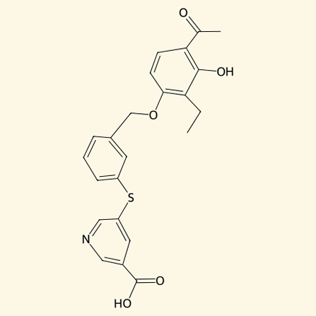 CCc1c(OCc2cccc(Sc3cncc(C(=O)O)c3)c2)ccc(C(C)=O)c1O